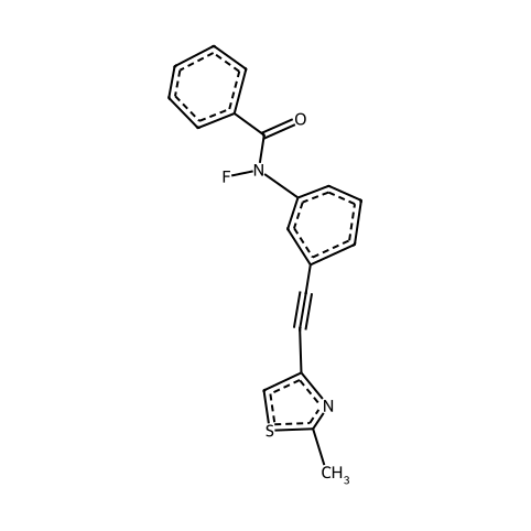 Cc1nc(C#Cc2cccc(N(F)C(=O)c3ccccc3)c2)cs1